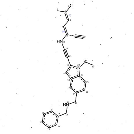 C#C/C(=C\C=C(/C)Cl)NC#Cc1cc2cc(CNCc3ccccc3)ccc2n1CC